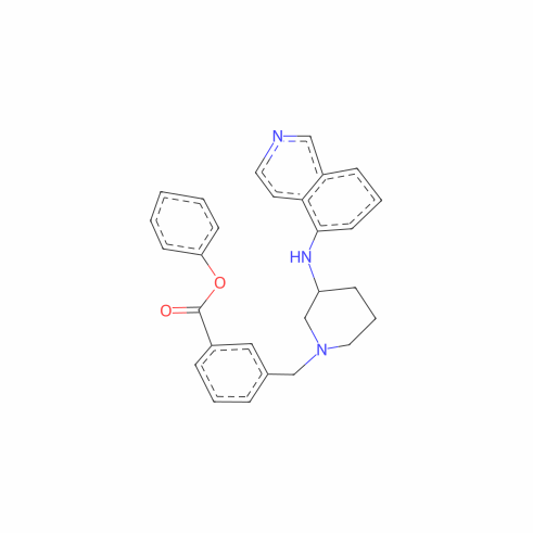 O=C(Oc1ccccc1)c1cccc(CN2CCCC(Nc3cccc4cnccc34)C2)c1